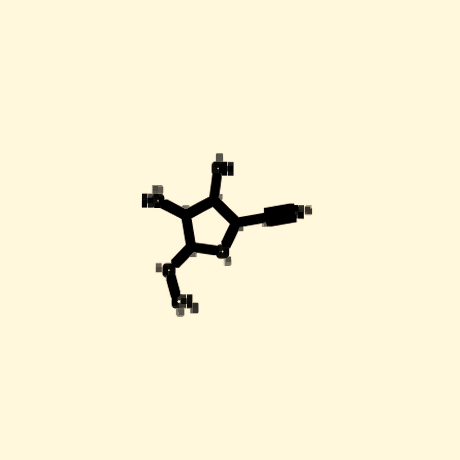 COC1OC(C#N)C(O)C1O